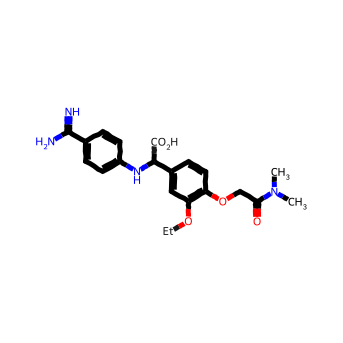 CCOc1cc(C(Nc2ccc(C(=N)N)cc2)C(=O)O)ccc1OCC(=O)N(C)C